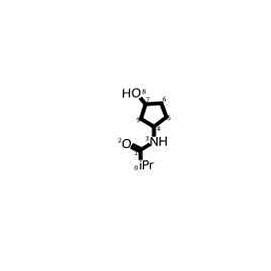 CC(C)C(=O)NC1CCC(O)C1